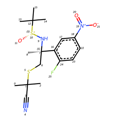 CC(C)(C#N)SC[C@@](C)(N[S@+]([O-])C(C)(C)C)c1cc([N+](=O)[O-])ccc1F